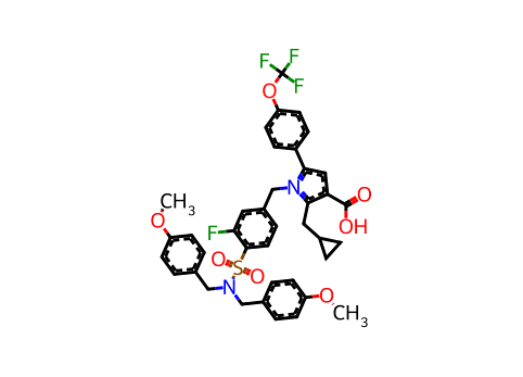 COc1ccc(CN(Cc2ccc(OC)cc2)S(=O)(=O)c2ccc(Cn3c(-c4ccc(OC(F)(F)F)cc4)cc(C(=O)O)c3CC3CC3)cc2F)cc1